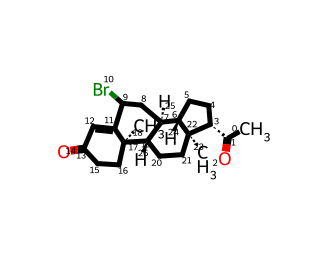 CC(=O)[C@H]1CC[C@H]2[C@@H]3CC(Br)C4=CC(=O)CC[C@]4(C)[C@H]3CC[C@]12C